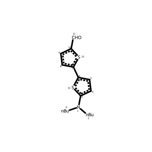 CCCCN(CCCC)c1ccc(-c2ccc(C=O)s2)s1